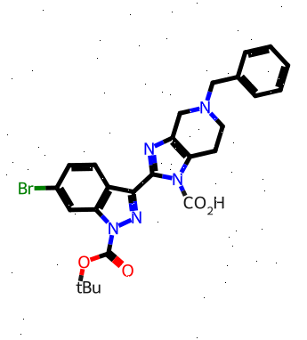 CC(C)(C)OC(=O)n1nc(-c2nc3c(n2C(=O)O)CCN(Cc2ccccc2)C3)c2ccc(Br)cc21